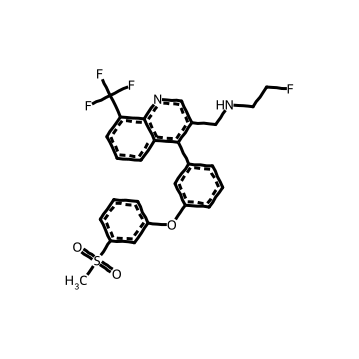 CS(=O)(=O)c1cccc(Oc2cccc(-c3c(CNCCF)cnc4c(C(F)(F)F)cccc34)c2)c1